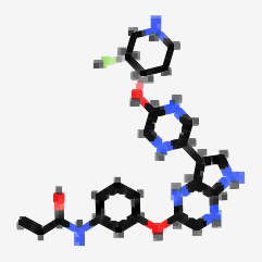 C=CC(=O)Nc1cccc(Oc2cnc3[nH]cc(-c4cnc(O[C@H]5CCNC[C@H]5F)cn4)c3n2)c1